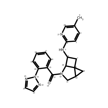 Cc1ccc(NC2CC34CC3CN(C(=O)c3ccccc3-n3nccn3)C24)nc1